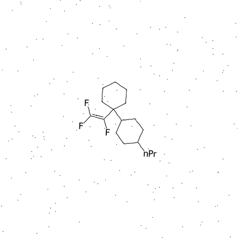 CCCC1CCC(C2(C(F)=C(F)F)CCCCC2)CC1